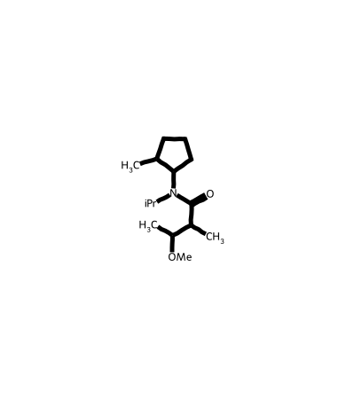 COC(C)C(C)C(=O)N(C(C)C)C1CCCC1C